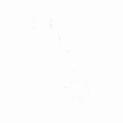 Cc1c[nH]c2ncnc(N3CCC(N)(CNc4ccccc4)CC3)c12